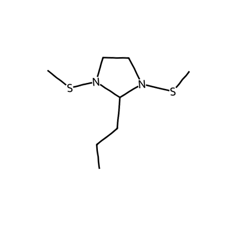 CCCC1N(SC)CCN1SC